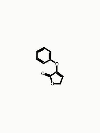 O=C1OCC=C1Oc1ccccc1